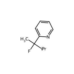 CC(C)C(C)(F)c1ccccn1